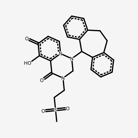 CS(=O)(=O)CCN1CN(C2c3ccccc3CCc3ccccc32)n2ccc(=O)c(O)c2C1=O